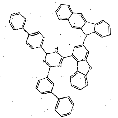 c1ccc(-c2ccc(C3N=C(c4cccc(-c5ccccc5)c4)N=C(c4cc(-n5c6ccccc6c6cc7ccccc7cc65)cc5oc6ccccc6c45)N3)cc2)cc1